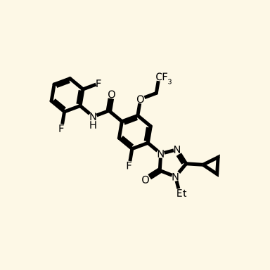 CCn1c(C2CC2)nn(-c2cc(OCC(F)(F)F)c(C(=O)Nc3c(F)cccc3F)cc2F)c1=O